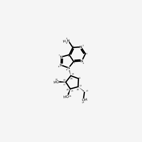 Nc1ncnc2c1nnn2[C@@H]1C[C@H](CO)[C@@H](O)[C@H]1O